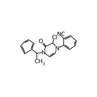 CC(c1ccccc1)N1C=CN(c2ccccc2C#N)C(Cl)C1=O